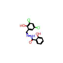 O=C(N/N=C\c1cc(Cl)cc(Cl)c1O)c1ccccc1O